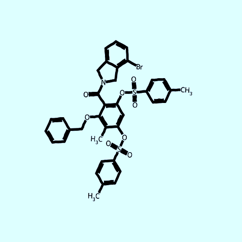 Cc1ccc(S(=O)(=O)Oc2cc(OS(=O)(=O)c3ccc(C)cc3)c(C(=O)N3Cc4cccc(Br)c4C3)c(OCc3ccccc3)c2C)cc1